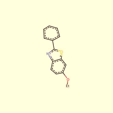 CCOc1ccc2nc(-c3ccccc3)sc2c1